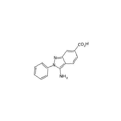 Nc1c2ccc(C(=O)O)cc2nn1-c1ccccc1